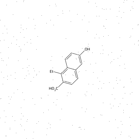 CCc1c(C(=O)O)ccc2cc(O)ccc12